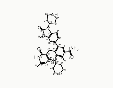 CCN(c1c(C)c(C(N)=O)cc(-c2ccc3c(c2)n(C)c(=O)n3C2CCNCC2)c1Cc1c(C)cc(C)[nH]c1=O)C1CCOCC1